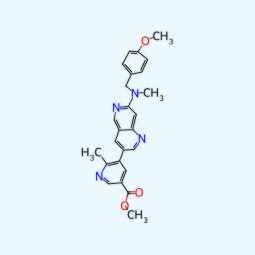 COC(=O)c1cnc(C)c(-c2cnc3cc(N(C)Cc4ccc(OC)cc4)ncc3c2)c1